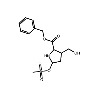 CS(=O)(=O)OC1CC(CO)C(C(=O)OCc2ccccc2)N1